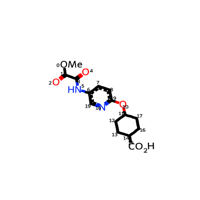 COC(=O)C(=O)Nc1ccc(OC2CCC(C(=O)O)CC2)nc1